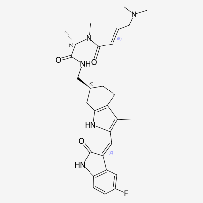 Cc1c(/C=C2\C(=O)Nc3ccc(F)cc32)[nH]c2c1CC[C@H](CNC(=O)[C@H](C)N(C)C(=O)/C=C/CN(C)C)C2